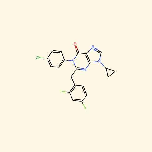 O=c1c2ncn(C3CC3)c2nc(Cc2ccc(F)cc2F)n1-c1ccc(Cl)cc1